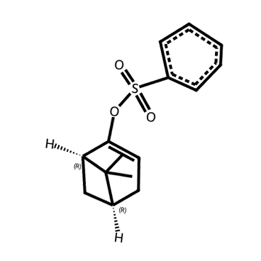 CC1(C)[C@H]2CC=C(OS(=O)(=O)c3ccccc3)[C@@H]1C2